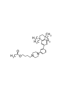 CC(=O)OCCCCN1CCN(c2cccc(-c3ccc4c(c3)C(C)(C)CCC4(C)C)c2)CC1